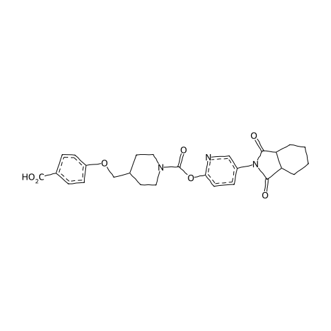 O=C(O)c1ccc(OCC2CCN(C(=O)Oc3ccc(N4C(=O)C5CCCCC5C4=O)cn3)CC2)cc1